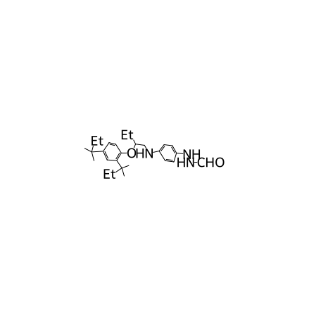 CCC(CNc1ccc(NNC=O)cc1)Oc1ccc(C(C)(C)CC)cc1C(C)(C)CC